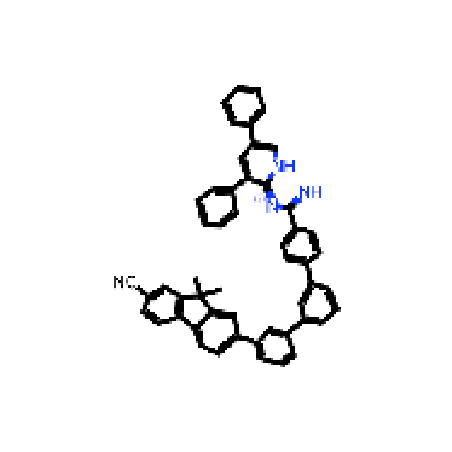 CC1(C)c2cc(C#N)ccc2-c2ccc(-c3cccc(-c4cccc(-c5ccc(C(=N)/N=c6\[nH]cc(-c7ccccc7)cc6-c6ccccc6)cc5)c4)c3)cc21